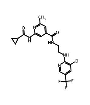 Cc1cc(C(=O)NCCNc2ncc(C(F)(F)F)cc2Cl)cc(NC(=O)C2CC2)n1